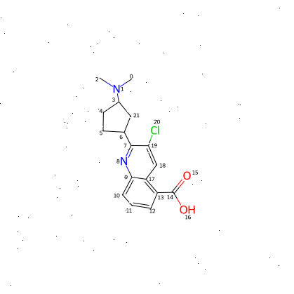 CN(C)C1CCC(c2nc3cccc(C(=O)O)c3cc2Cl)C1